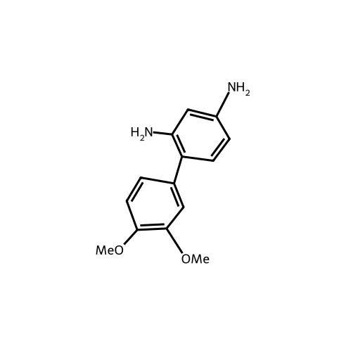 COc1ccc(-c2ccc(N)cc2N)cc1OC